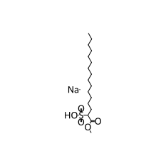 CCCCCCCCCCCCCCC(C(=O)OC)S(=O)(=O)O.[Na]